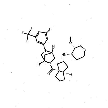 CO[C@@H]1COCC[C@@H]1N[C@@H]1C[C@H]2CCC[C@@]2(C(=O)N2C[C@@H]3C[C@H]2CN3c2cc(F)cc(C(F)(F)F)c2)C1